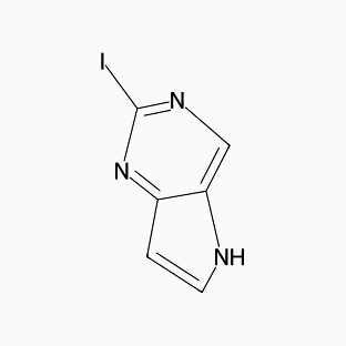 Ic1ncc2[nH]ccc2n1